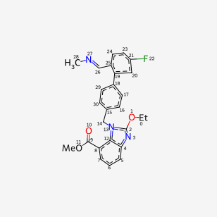 CCOc1nc2cccc(C(=O)OC)c2n1Cc1ccc(-c2cc(F)ccc2/C=N/C)cc1